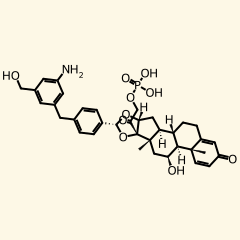 C[C@]12C=CC(=O)C=C1CC[C@@H]1[C@@H]2[C@@H](O)C[C@@]2(C)[C@H]1C[C@H]1O[C@@H](c3ccc(Cc4cc(N)cc(CO)c4)cc3)O[C@]12C(=O)COP(=O)(O)O